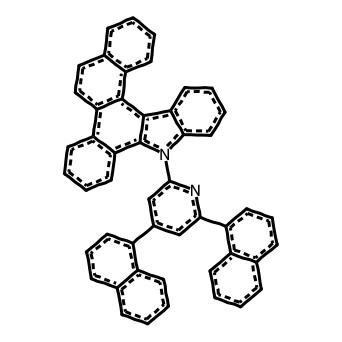 c1ccc2c(-c3cc(-c4cccc5ccccc45)nc(-n4c5ccccc5c5c6c7ccccc7ccc6c6ccccc6c54)c3)cccc2c1